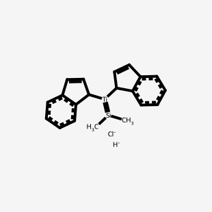 C[Si](C)=[Ti]([CH]1C=Cc2ccccc21)[CH]1C=Cc2ccccc21.[Cl-].[H-]